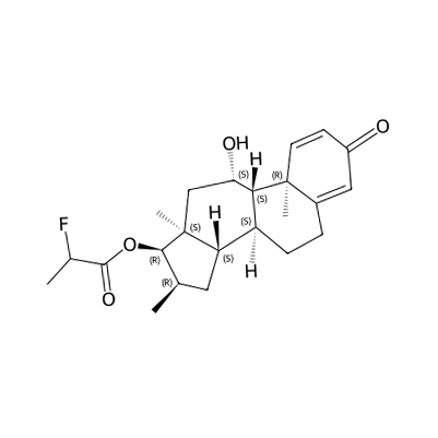 CC(F)C(=O)O[C@@H]1[C@H](C)C[C@H]2[C@@H]3CCC4=CC(=O)C=C[C@]4(C)[C@H]3[C@@H](O)C[C@]12C